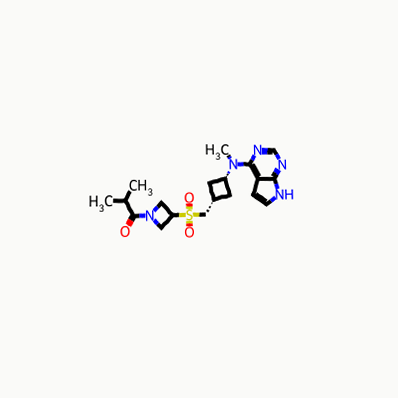 CC(C)C(=O)N1CC(S(=O)(=O)C[C@H]2C[C@@H](N(C)c3ncnc4[nH]ccc34)C2)C1